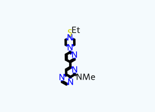 CCSN1CCN(c2ccc(-c3cc4nccnc4c(NC)n3)cn2)CC1